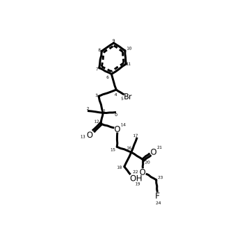 CC(C)(CC(Br)c1ccccc1)C(=O)OCC(C)(CO)C(=O)OCF